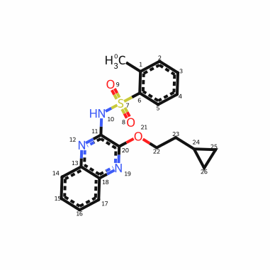 Cc1ccccc1S(=O)(=O)Nc1nc2ccccc2nc1OCCC1CC1